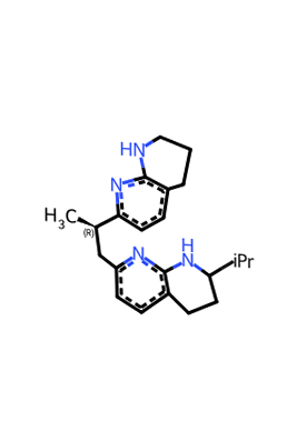 CC(C)C1CCc2ccc(C[C@@H](C)c3ccc4c(n3)NCCC4)nc2N1